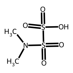 CN(C)S(=O)(=O)S(=O)(=O)O